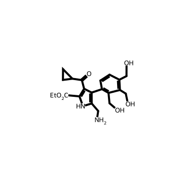 CCOC(=O)c1[nH]c(CN)c(-c2ccc(CO)c(CO)c2CO)c1C(=O)C1CC1